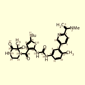 C=C(NC)c1ccc(-c2cc(NC(=O)Nc3sc(C(C)(C)C)cc3C(=O)N3CCNC(=O)C3(C)C)ccc2C)cn1